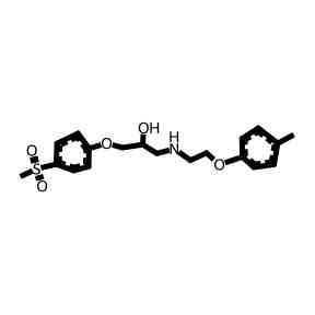 Cc1ccc(OCCNCC(O)COc2ccc(S(C)(=O)=O)cc2)cc1